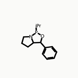 CC(C)P1OC(c2ccccc2)C2CCCN21